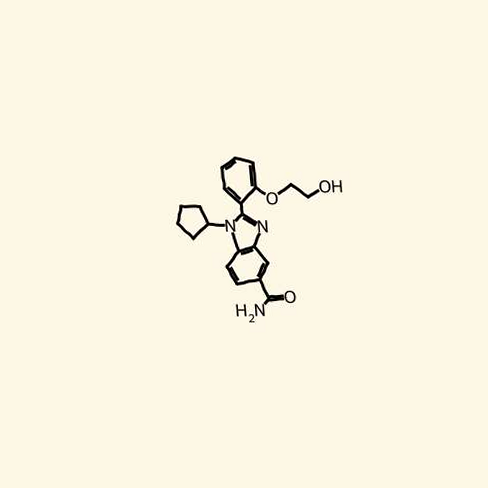 NC(=O)c1ccc2c(c1)nc(-c1ccccc1OCCO)n2C1CCCC1